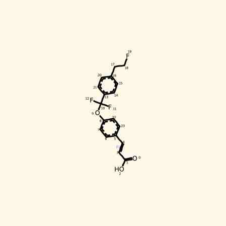 O=C(O)/C=C/c1ccc(OC(F)(F)c2ccc(CCF)cc2)cc1